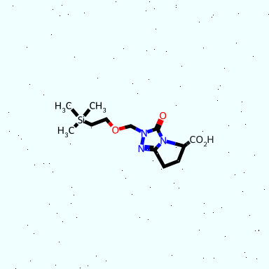 C[Si](C)(C)CCOCn1nc2n(c1=O)C(C(=O)O)CC2